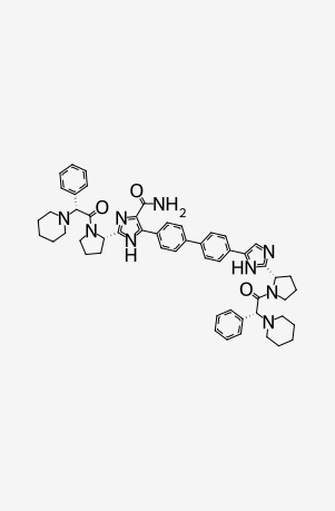 NC(=O)c1nc([C@@H]2CCCN2C(=O)[C@@H](c2ccccc2)N2CCCCC2)[nH]c1-c1ccc(-c2ccc(-c3cnc([C@@H]4CCCN4C(=O)[C@@H](c4ccccc4)N4CCCCC4)[nH]3)cc2)cc1